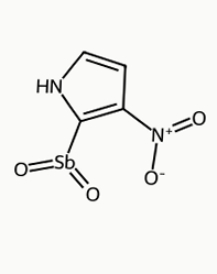 O=[N+]([O-])c1cc[nH][c]1[Sb](=[O])=[O]